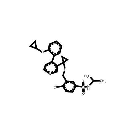 CC(C)NS(=O)(=O)c1ccc(Cl)c(COC2(c3cnccc3-c3ccccc3OC3CC3)CC2)c1